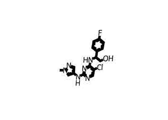 Cn1cc(Nc2ncc(Cl)c(NC(CO)c3ccc(F)cc3)n2)cn1